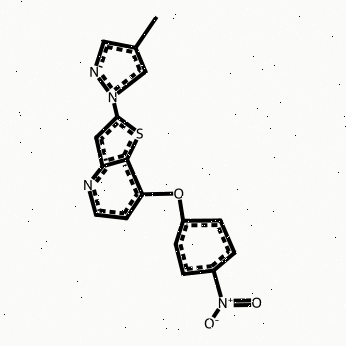 Cc1cnn(-c2cc3nccc(Oc4ccc([N+](=O)[O-])cc4)c3s2)c1